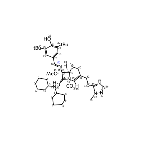 C1CCC(NC2CCCCC2)CC1.CO[C@@]1(/N=C/c2cc(C(C)(C)C)c(O)c(C(C)(C)C)c2)C(=O)N2C(C(=O)O)=C(CSc3nnnn3C)CS[C@@H]21